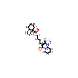 Cc1nc2n(c(=O)c1CCCCOC(=O)C1(C)CCCCC1)CCCC2